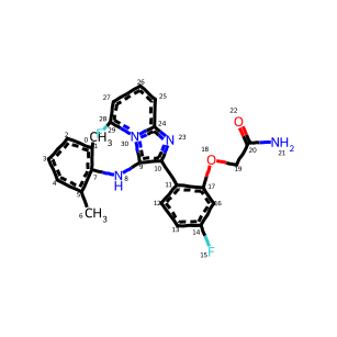 Cc1cccc(C)c1Nc1c(-c2ccc(F)cc2OCC(N)=O)nc2cccc(F)n12